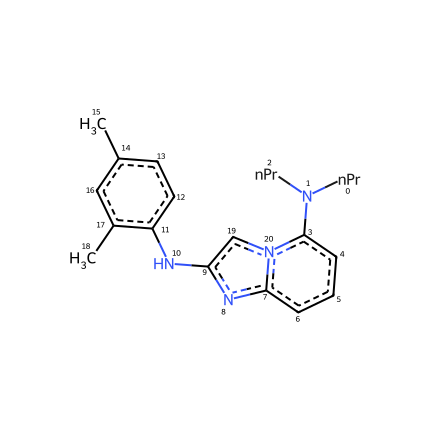 CCCN(CCC)c1cccc2nc(Nc3ccc(C)cc3C)cn12